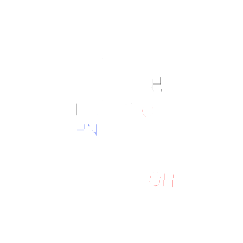 OC[C@@H]1CN[C@H]2CCC[C@H]2O1